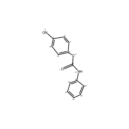 O=Nc1ccc(OC(=O)Nc2ccccc2)cc1